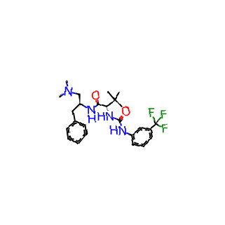 CN(C)C[C@H](Cc1ccccc1)NC(=O)[C@@H](NC(=O)Nc1cccc(C(F)(F)F)c1)C(C)(C)C